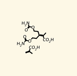 C=C(C)C(=O)O.CC(C(=O)O)=C(CCOC(N)=O)CCOC(N)=O